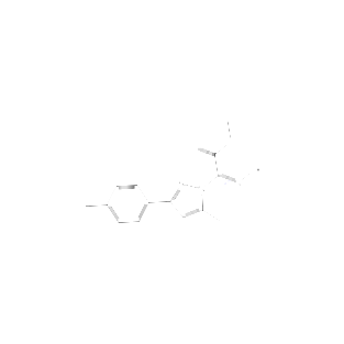 COC(=O)/C(=N\O)n1nc(-c2ccc(Cl)cc2)cc1C